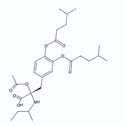 CCC(C)N[C@@](Cc1ccc(OC(=O)CCC(C)C)c(OC(=O)CCC(C)C)c1)(OC(C)=O)C(=O)O